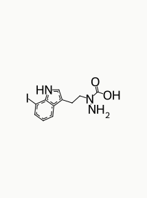 NN(CCc1c[nH]c2c(I)cccc12)C(=O)O